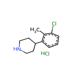 Cc1c(Cl)cccc1C1CCNCC1.Cl